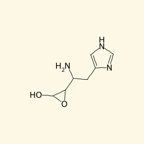 NC(Cc1c[nH]cn1)C1OC1O